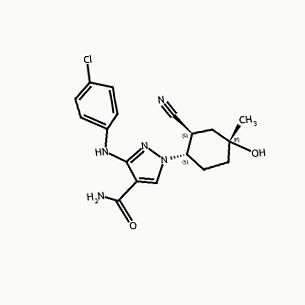 C[C@@]1(O)CC[C@H](n2cc(C(N)=O)c(Nc3ccc(Cl)cc3)n2)[C@@H](C#N)C1